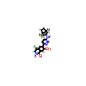 CN(c1ccc(-c2cc3c(F)cn(C)c(=O)c3cc2O)nn1)[C@H]1C[C@@H]2CC[C@@H](C2)[C@H]1F